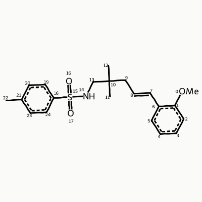 COc1ccccc1C=CCC(C)(C)CNS(=O)(=O)c1ccc(C)cc1